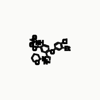 CCc1cc(Oc2ccc(C(=O)NS(C)(=O)=O)cc2-c2ccnn2C2CCCCO2)ccc1Cl